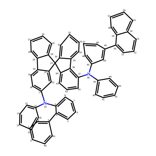 c1ccc(-c2ccccc2N(c2ccccc2)c2ccc3c(c2)C2(c4ccccc4-3)c3ccccc3-c3c(N(c4ccccc4)c4cccc(-c5cccc6ccccc56)c4)cccc32)cc1